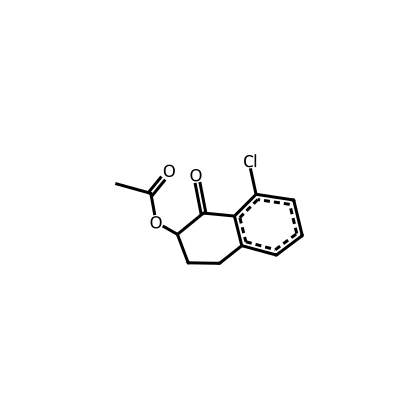 CC(=O)OC1CCc2cccc(Cl)c2C1=O